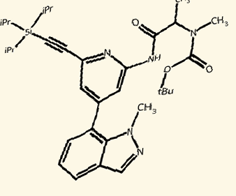 CC(C(=O)Nc1cc(-c2cccc3cnn(C)c23)cc(C#C[Si](C(C)C)(C(C)C)C(C)C)n1)N(C)C(=O)OC(C)(C)C